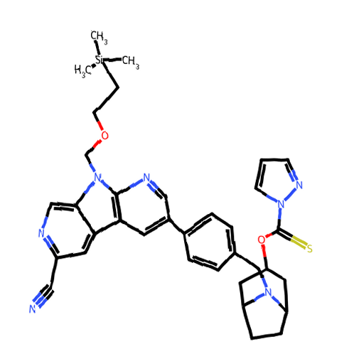 C[Si](C)(C)CCOCn1c2cnc(C#N)cc2c2cc(-c3ccc(CN4C5CCC4CC(OC(=S)n4cccn4)C5)cc3)cnc21